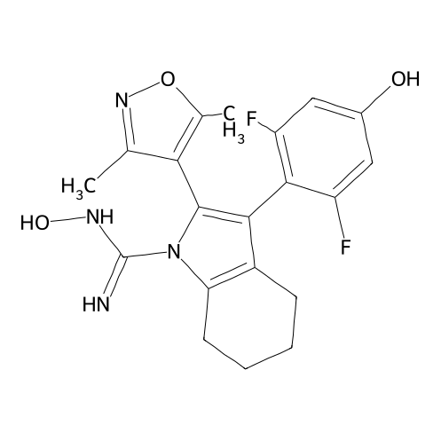 Cc1noc(C)c1-c1c(-c2c(F)cc(O)cc2F)c2c(n1C(=N)NO)CCCC2